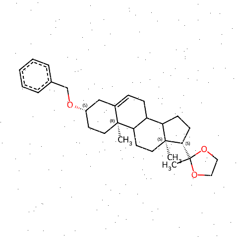 CC1([C@H]2CCC3C4CC=C5C[C@@H](OCc6ccccc6)CC[C@]5(C)C4CC[C@@]32C)OCCO1